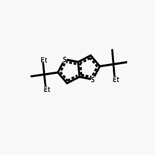 CCC(C)(C)c1cc2sc(C(C)(CC)CC)cc2s1